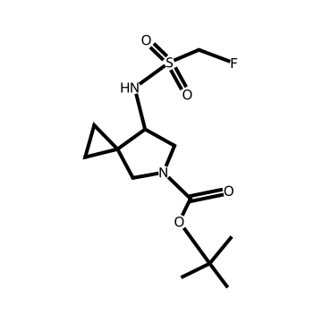 CC(C)(C)OC(=O)N1CC(NS(=O)(=O)CF)C2(CC2)C1